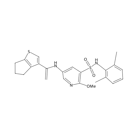 C=C(Nc1cnc(OC)c(S(=O)(=O)Nc2c(C)cccc2C)c1)c1csc2c1CCC2